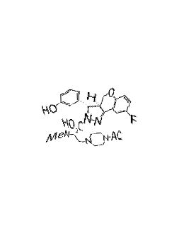 CNCCN1CCN(C(C)=O)CC1.O=C(O)N1N=C2c3cc(F)ccc3OC[C@@H]2[C@H]1c1cccc(O)c1